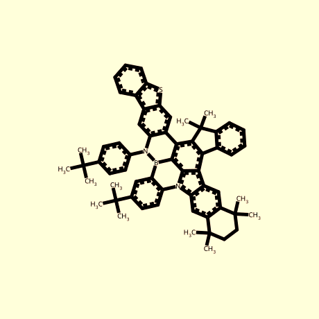 CC(C)(C)c1ccc(N2B3c4cc(C(C)(C)C)ccc4-n4c5cc6c(cc5c5c7c(c(c3c54)-c3cc4sc5ccccc5c4cc32)C(C)(C)c2ccccc2-7)C(C)(C)CCC6(C)C)cc1